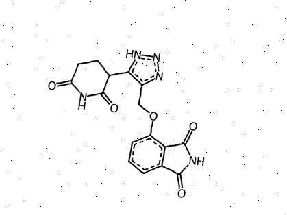 O=C1CCC(c2[nH]nnc2COc2cccc3c2C(=O)NC3=O)C(=O)N1